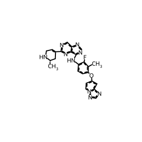 Cc1c(Oc2ccn3ncnc3c2)ccc(Nc2ncnc3cnc(C4=CCN[C@H](C)C4)nc23)c1F